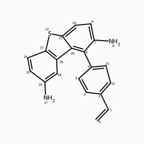 C=Cc1ccc(-c2c(N)ccc3sc4ccc(N)cc4c23)cc1